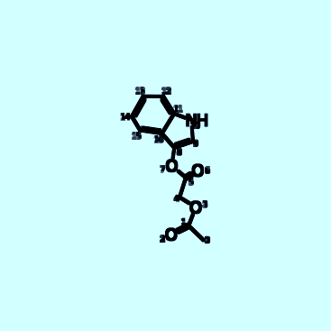 CC(=O)OCC(=O)Oc1c[nH]c2ccccc12